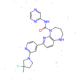 CC1(F)CCN(c2cc(-c3ccc4c(n3)N(C(=O)Nc3cnccn3)CCCN4)ccn2)C1